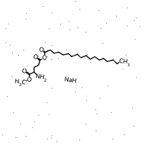 CCCCCCCCCCCCCCCCCC(=O)OC(=O)CCC(N)C(=O)OC.[NaH]